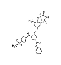 Cc1cc(CC[C@@H]2CN(C(=O)Oc3ccccc3)C[C@H]2C(=O)c2ccc(S(C)(=O)=O)cc2)cc(C)c1OC(C)(C)C(=O)O